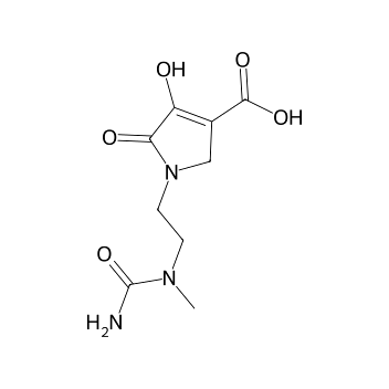 CN(CCN1CC(C(=O)O)=C(O)C1=O)C(N)=O